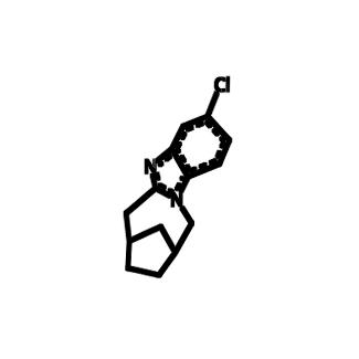 Clc1ccc2c(c1)nc1n2CC2CCC(C1)C2